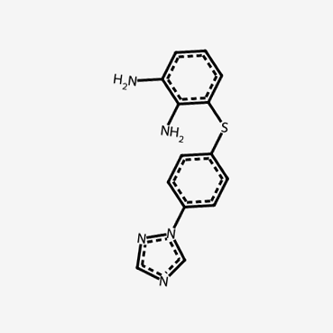 Nc1cccc(Sc2ccc(-n3cncn3)cc2)c1N